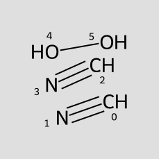 C#N.C#N.OO